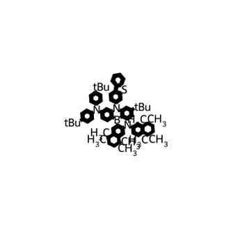 CC(C)(C)c1ccc(N(c2ccc(C(C)(C)C)cc2)c2ccc3c(c2)N(c2ccc4c(c2)sc2ccccc24)c2cc(C(C)(C)C)cc4c2B3c2cc3c(cc2N4c2ccc4c(c2)C(C)(C)CCC4(C)C)C(C)(C)CCC3(C)C)cc1